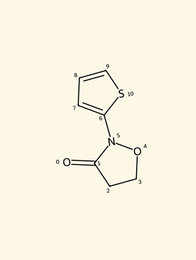 O=C1CCON1c1cccs1